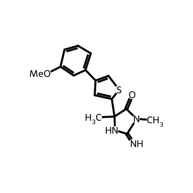 COc1cccc(-c2csc(C3(C)NC(=N)N(C)C3=O)c2)c1